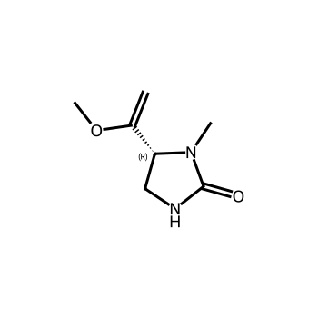 C=C(OC)[C@H]1CNC(=O)N1C